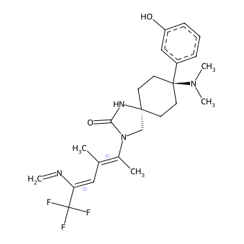 C=N/C(=C\C(C)=C(/C)N1C[C@]2(CC[C@](c3cccc(O)c3)(N(C)C)CC2)NC1=O)C(F)(F)F